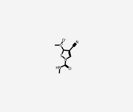 CNC(=O)N1C=C(C#N)C([S+](C)[O-])S1